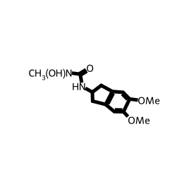 COc1cc2c(cc1OC)CC(NC(=O)N(C)O)C2